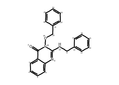 O=c1c2ccccc2nc(NCc2ccccc2)n1OCc1ccccc1